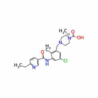 CCc1ccc(C(=O)Nc2cc(Cl)cc(CN3CCN(C(=O)O)[C@@H](C)C3)c2C)cn1